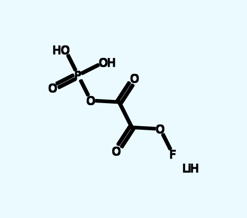 O=C(OF)C(=O)OP(=O)(O)O.[LiH]